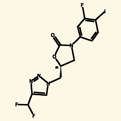 O=C1O[C@@H](Cn2cc(C(F)F)nn2)CN1c1ccc(I)c(F)c1